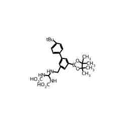 CC(C)(C)c1ccc(-c2cc(CNC(NC(=O)O)NC(=O)O)cc(B3OC(C)(C)C(C)(C)O3)c2)cc1